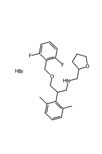 Br.Cc1cccc(C)c1C(CNCC1CCCO1)COCc1c(F)cccc1F